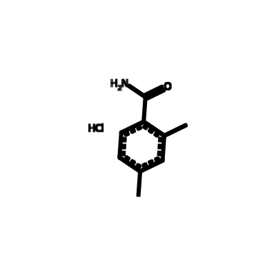 Cc1ccc(C(N)=O)c(C)c1.Cl